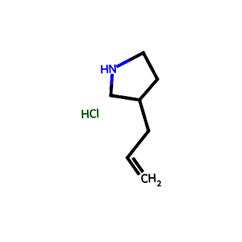 C=CCC1CCNC1.Cl